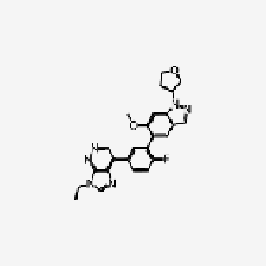 CCn1cnc2c(-c3ccc(F)c(C4=CC5C=NN(C6CCOC6)C5C=C4OC)c3)cnnc21